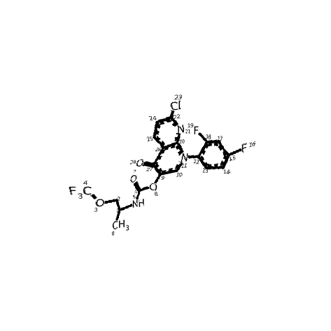 CC(COC(F)(F)F)NC(=O)Oc1cn(-c2ccc(F)cc2F)c2nc(Cl)ccc2c1=O